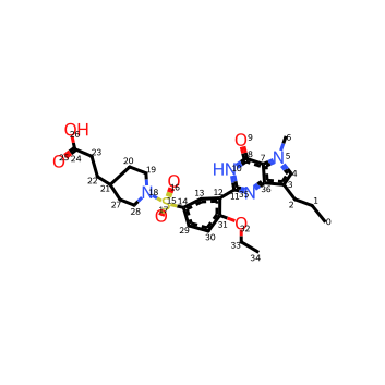 CCCc1cn(C)c2c(=O)[nH]c(-c3cc(S(=O)(=O)N4CCC(CCC(=O)O)CC4)ccc3OCC)nc12